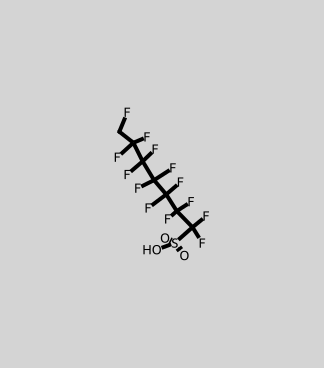 O=S(=O)(O)C(F)(F)C(F)(F)C(F)(F)C(F)(F)C(F)(F)C(F)(F)CF